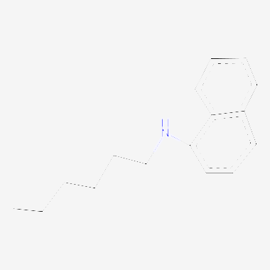 CCCCCCNc1cccc2ccccc12